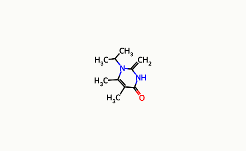 C=C1NC(=O)C(C)=C(C)N1C(C)C